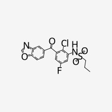 CCCS(=O)(=O)Nc1cc(F)cc(C(=O)c2ccc3ocnc3c2)c1Cl